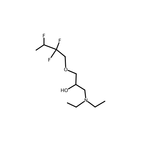 CCN(CC)CC(O)COCC(F)(F)C(C)F